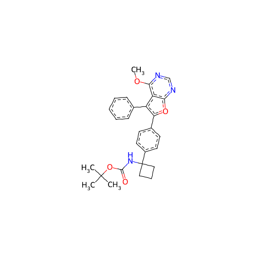 COc1ncnc2oc(-c3ccc(C4(NC(=O)OC(C)(C)C)CCC4)cc3)c(-c3ccccc3)c12